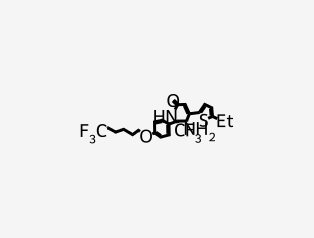 CCc1ccc(C2=CC(=O)NC(c3ccc(OCCCCCC(F)(F)F)cc3)(C(F)(F)F)C2N)s1